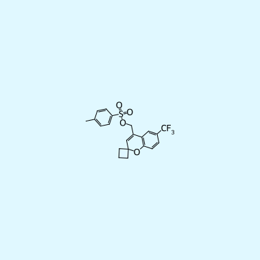 Cc1ccc(S(=O)(=O)OCC2=CC3(CCC3)Oc3ccc(C(F)(F)F)cc32)cc1